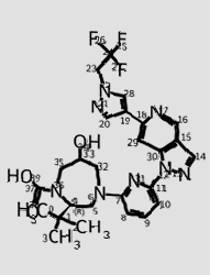 CC(C)(C)[C@@H]1CN(c2cccc(-n3ncc4cnc(-c5cnn(CC(F)(F)F)c5)cc43)n2)CC(O)CN1C(=O)O